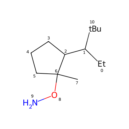 CCC(C1CCCC1(C)ON)C(C)(C)C